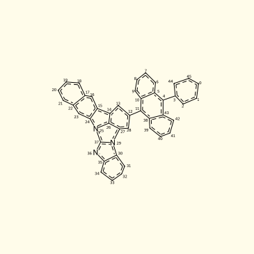 c1ccc(-c2c3ccccc3c(-c3cc4c5cc6ccccc6cc5n5c4c(c3)n3c4ccccc4nc35)c3ccccc23)cc1